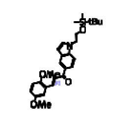 COc1ccc(OC)c(/C=C(\C)C(=O)c2ccc3c(ccn3CCO[Si](C)(C)C(C)(C)C)c2)c1